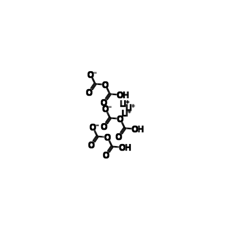 O=C([O-])OC(=O)O.O=C([O-])OC(=O)O.O=C([O-])OC(=O)O.[Li+].[Li+].[Li+]